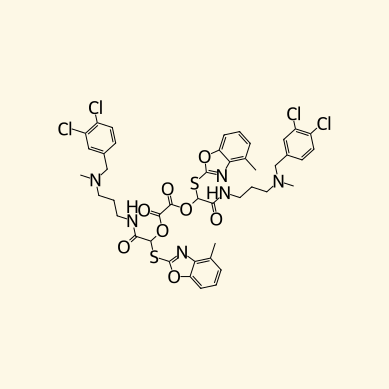 Cc1cccc2oc(SC(OC(=O)C(=O)OC(Sc3nc4c(C)cccc4o3)C(=O)NCCCN(C)Cc3ccc(Cl)c(Cl)c3)C(=O)NCCCN(C)Cc3ccc(Cl)c(Cl)c3)nc12